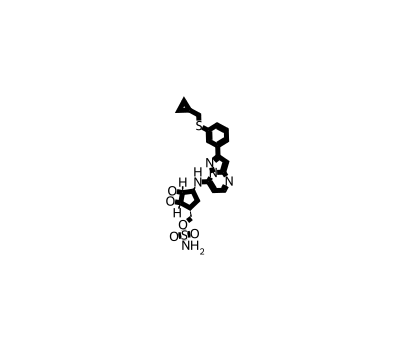 NS(=O)(=O)OC[C@H]1C[C@@H](Nc2ccnc3cc(-c4cccc(SCC5CC5)c4)nn23)[C@@H]2OO[C@H]12